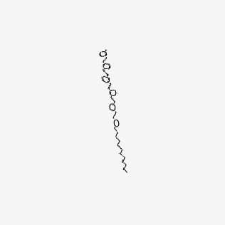 CCCCCCCCCCCCOCCOCCOCCOCCOCCOC